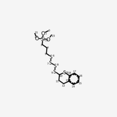 CO[Si](CCCSSSSC1CCc2ccccc2S1)(OC)OC